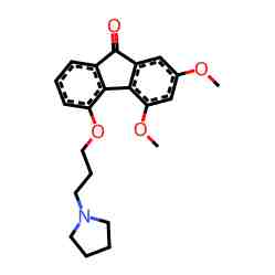 COc1cc(OC)c2c(c1)C(=O)c1cccc(OCCCN3CCCC3)c1-2